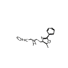 Cc1oc(-c2ccccc2)nc1CCNC[C]=O